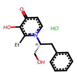 CCc1c(O)c(=O)ccn1[C@@H](CO)Cc1ccccc1.Cl